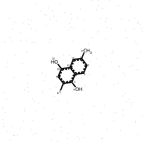 Cc1ccc2c(O)c(I)cc(O)c2c1